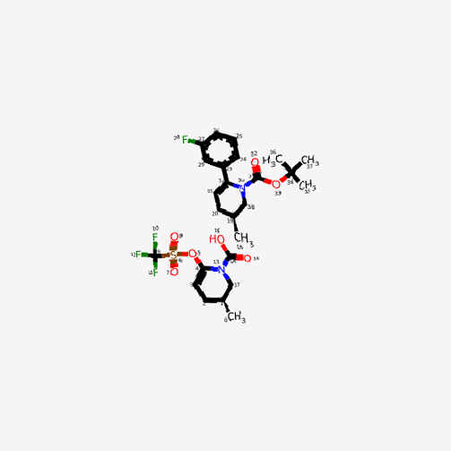 C[C@H]1CC=C(OS(=O)(=O)C(F)(F)F)N(C(=O)O)C1.C[C@H]1CC=C(c2cccc(F)c2)N(C(=O)OC(C)(C)C)C1